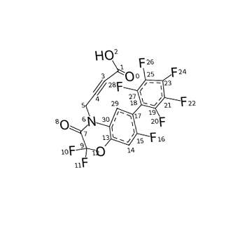 O=C(O)C#CCN1C(=O)C(F)(F)Oc2cc(F)c(-c3c(F)c(F)c(F)c(F)c3F)cc21